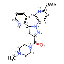 COc1ccc(-n2nc(C(=O)N3CCN(C)CC3)cc2-c2ccccn2)cn1